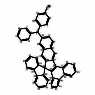 CC(C)c1ccc(N(c2ccccc2)c2ccc3cc4c(cc3c2)C2(c3ccccc3-c3ccccc32)c2c-4c3ccccc3c3ccccc23)cc1